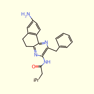 CC(C)CC(=O)Nc1nc2c(nc1Cc1ccccc1)-c1ccc(N)cc1CC2